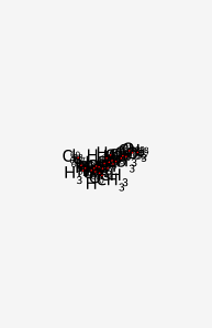 CC(C)C1=C2[C@H]3CC[C@@H]4[C@@]5(C)CC[C@H](OC(=O)[C@H]6C[C@@H](C(=O)OCc7ccccc7)C6(C)C)C(C)(C)[C@@H]5CC[C@@]4(C)[C@]3(C)CC[C@@]2(C(=O)NC(C)(C)c2ncc(-c3ccc(Cl)cc3)[nH]2)CC1=O